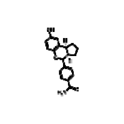 NC(=O)c1ccc([C@H]2Oc3ccc(O)cc3[C@H]3CCC[C@H]32)cc1